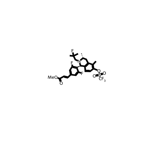 COC(=O)/C=C/c1cc(F)c([C@@H]2c3ccc(OS(=O)(=O)C(F)(F)F)c(C)c3C[C@@H](C)N2CC(C)(C)F)c(F)c1